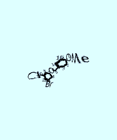 COc1ccc(COc2cc(Cl)cc(Br)c2)cc1